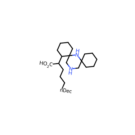 CCCCCCCCCCCCCC(C(=O)O)C1CCCCC12CNCC1(CCCCC1)N2